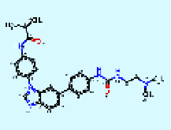 CC(C)C(=O)Nc1ccc(-n2cnc3ccc(-c4ccc(NC(=O)NCCN(C)C)cc4)cc32)cc1